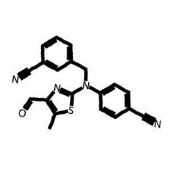 Cc1sc(N(Cc2cccc(C#N)c2)c2ccc(C#N)cc2)nc1C=O